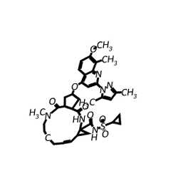 COc1ccc2c(OC3CC4C(=O)NC5(C(=O)NS(=O)(=O)C6CC6)CC5/C=C\CCCCN(C)C(=O)C4C3)cc(-n3nc(C)cc3C)nc2c1C